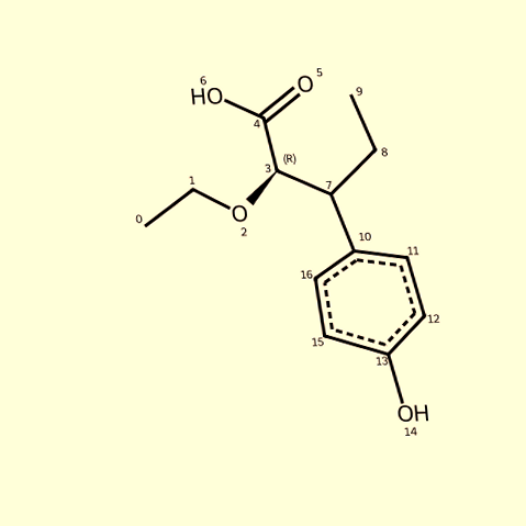 CCO[C@@H](C(=O)O)C(CC)c1ccc(O)cc1